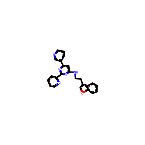 c1ccc(-c2nc(NCCc3coc4ccccc34)cc(-c3cccnc3)n2)nc1